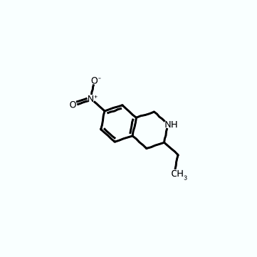 CCC1Cc2ccc([N+](=O)[O-])cc2CN1